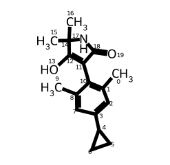 Cc1cc(C2CC2)cc(C)c1C1=C(O)C(C)(C)NC1=O